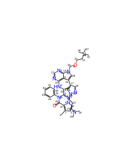 Cc1ccn2nc([C@H](C)Nc3ncnc4c3c(-c3cnn(CCCN(C)C)c3)cn4COCC[Si](C)(C)C)n(-c3ccccc3)c(=O)c12